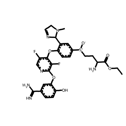 CCOC(=O)C(N)CC[S+]([O-])c1ccc(Oc2c(F)cnc(Oc3cc(C(=N)N)ccc3O)c2F)c(C2N=CCN2C)c1